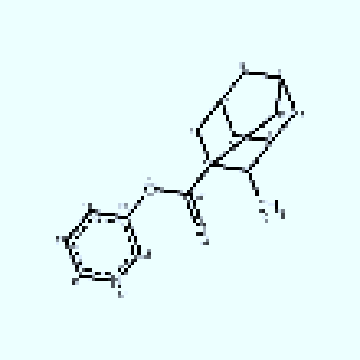 CC1C2CC3CC(C2)CC1(C(=O)Oc1cccnc1)C3